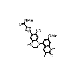 CNC(=O)C1CN(c2cc3c(cc2C#N)N(c2cc(OC)cc4c2cc(C)c(=O)n4C)CCN3C)C1